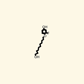 OCCCCCCCCCCCOc1ccc(O)cc1F